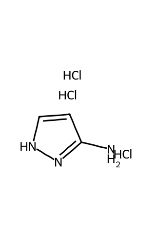 Cl.Cl.Cl.Nc1cc[nH]n1